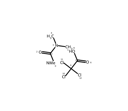 CNC(=O)N(C)C.O=C(O)C(Cl)(Cl)Cl